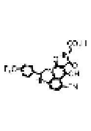 N#Cc1ccc2c3c1c(O)c(C(=O)NCC(=O)O)c(=O)n3CC(c1ccc(C(F)(F)F)cc1)N2